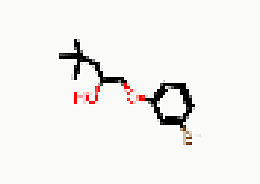 CC(C)(C)[CH][C@H](O)COc1cccc(Br)c1